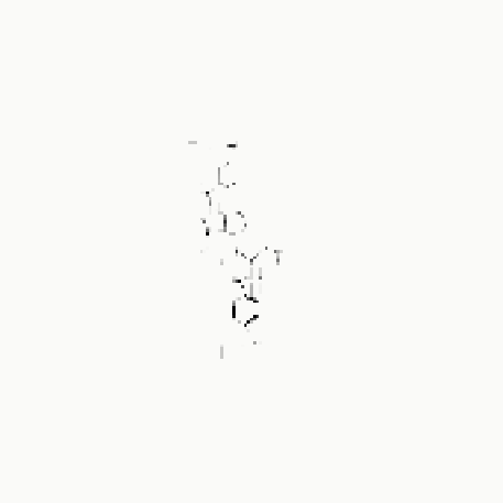 CC(C)CCC(N)C(=O)N1CC(=O)C2C1CCN2C(=O)C(CC(C)C)NC(=O)c1ccc(N(C)C)cc1